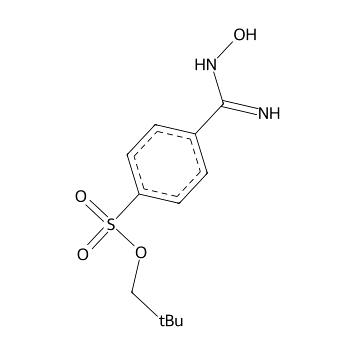 CC(C)(C)COS(=O)(=O)c1ccc(C(=N)NO)cc1